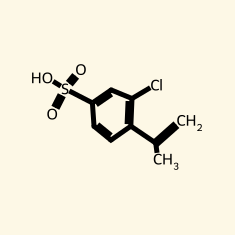 C=C(C)c1ccc(S(=O)(=O)O)cc1Cl